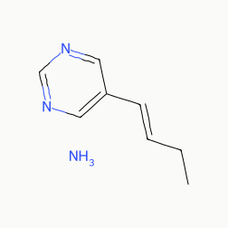 CC/C=C/c1cncnc1.N